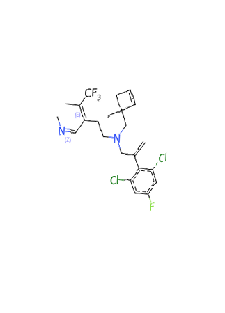 C=C(CN(CCC(/C=N\C)=C(/C)C(F)(F)F)CC1(C)C=CC1)c1c(Cl)cc(F)cc1Cl